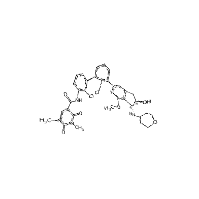 COc1nc(-c2cccc(-c3cccc(NC(=O)c4cn(C)c(=O)n(C)c4=O)c3Cl)c2Cl)cc2c1[C@@H](NC1CCOCC1)[C@H](O)C2